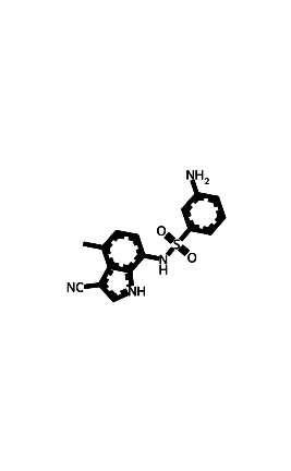 Cc1ccc(NS(=O)(=O)c2cccc(N)c2)c2[nH]cc(C#N)c12